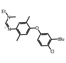 CCN(C)/C=N\c1cc(C)c(Oc2ccc(Cl)c(C(C)(C)C)c2)cc1C